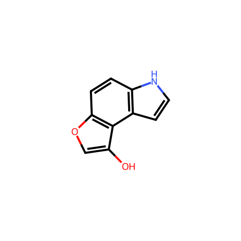 Oc1coc2ccc3[nH]ccc3c12